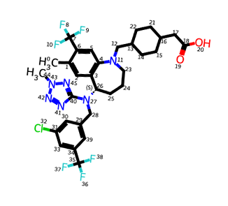 Cc1cc2c(cc1C(F)(F)F)N(CC1CCC(CC(=O)O)CC1)CCC[C@@H]2N(Cc1cc(Cl)cc(C(F)(F)F)c1)c1nnn(C)n1